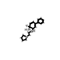 NC1(F)C=CC(c2ccccc2)=CC1NCCN1CCCC1